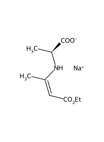 CCOC(=O)C=C(C)N[C@@H](C)C(=O)[O-].[Na+]